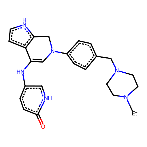 CCN1CCN(Cc2ccc(N3C=C(Nc4ccc(=O)[nH]c4)c4cc[nH]c4C3)cc2)CC1